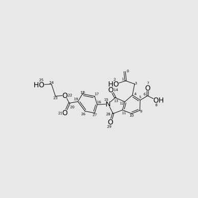 C=C(O)Cc1c(C(=O)O)ccc2c1C(=O)N(c1ccc(C(=O)OCCO)cc1)C2=O